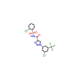 O=C(NS(=O)(=O)c1ccccc1Cl)c1cn(-c2cc(Cl)cc(C(F)(F)F)c2)cn1